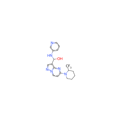 OC(Nc1cccnc1)c1cnn2ccc(N3CCCCC3C(F)(F)F)nc12